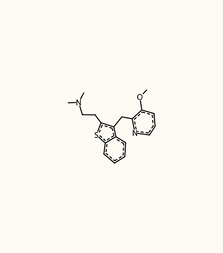 COc1cccnc1Cc1c(CCN(C)C)sc2ccccc12